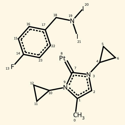 Cc1cn(C2CC2)[c](=[Pt])n1C1CC1.Fc1ccc(CN(I)I)cc1